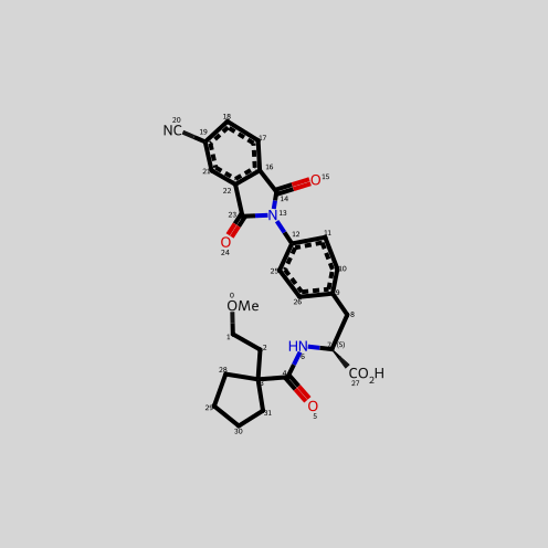 COCCC1(C(=O)N[C@@H](Cc2ccc(N3C(=O)c4ccc(C#N)cc4C3=O)cc2)C(=O)O)CCCC1